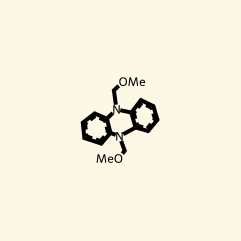 COCN1c2ccccc2N(COC)c2ccccc21